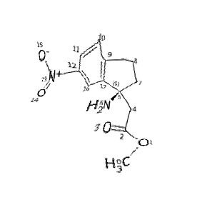 COC(=O)C[C@@]1(N)CCc2ccc([N+](=O)[O-])cc21